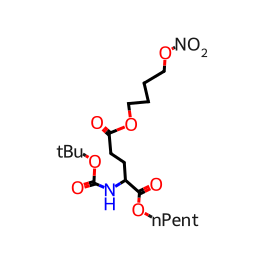 CCCCCOC(=O)C(CCC(=O)OCCCCO[N+](=O)[O-])NC(=O)OC(C)(C)C